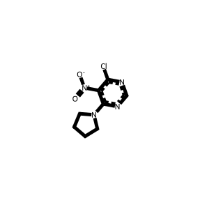 O=[N+]([O-])c1c(Cl)ncnc1N1CCCC1